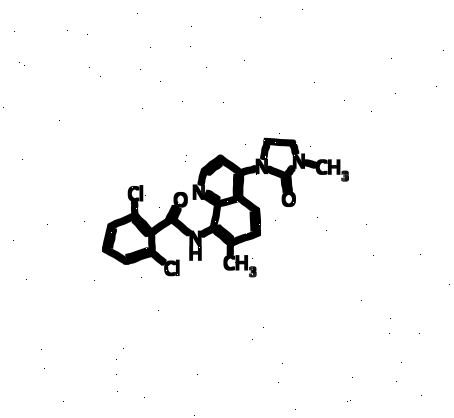 Cc1ccc2c(N3CCN(C)C3=O)ccnc2c1NC(=O)c1c(Cl)cccc1Cl